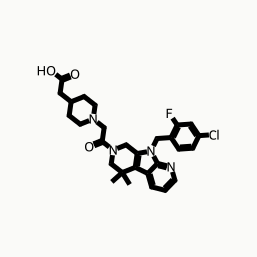 CC1(C)CN(C(=O)CN2CCC(CC(=O)O)CC2)Cc2c1c1cccnc1n2Cc1ccc(Cl)cc1F